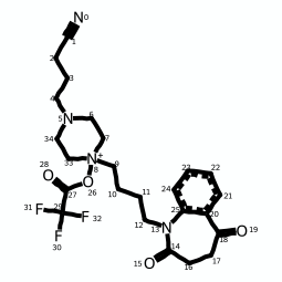 N#CCCCN1CC[N+](CCCCN2C(=O)CCC(=O)c3ccccc32)(OC(=O)C(F)(F)F)CC1